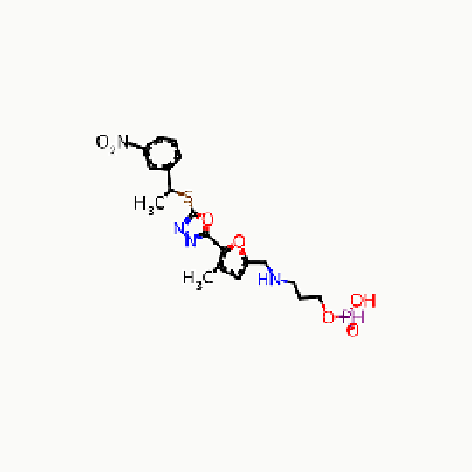 Cc1cc(CNCCCO[PH](=O)O)oc1-c1nnc(SC(C)c2cccc([N+](=O)[O-])c2)o1